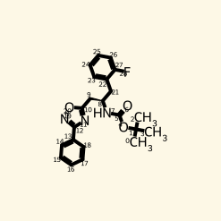 CC(C)(C)OC(=O)N[C@@H](Cc1nc(-c2ccccc2)no1)Cc1ccccc1F